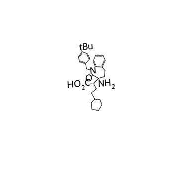 CC(C)(C)c1ccc(CN2C(=O)[C@](N)([C@H](CCC3CCCCC3)C(=O)O)CCc3ccccc32)cc1